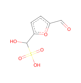 O=Cc1ccc(C(O)S(=O)(=O)O)o1